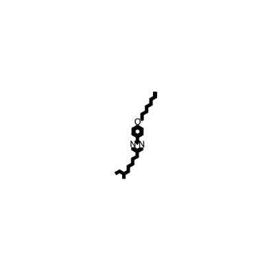 C=CCCCCCCOc1ccc(-c2ncc(CCCCCC(C)CC)cn2)cc1